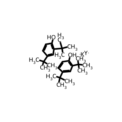 CC(C)(C)c1ccc(O)c(C(C)(C)C)c1.CC(C)(C)c1ccc(O)c(C(C)(C)C)c1.[K].[Y]